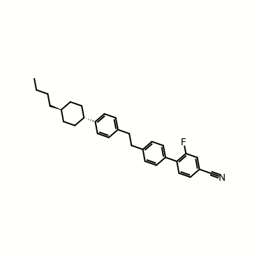 CCCC[C@H]1CC[C@H](c2ccc(CCc3ccc(-c4ccc(C#N)cc4F)cc3)cc2)CC1